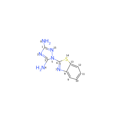 Nc1nc(N)n(-c2nc3ccccc3s2)n1